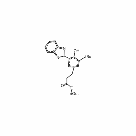 CCCCCCCCOC(=O)CCc1cc(C2N=c3ccccc3=N2)c(O)c(C(C)(C)C)c1